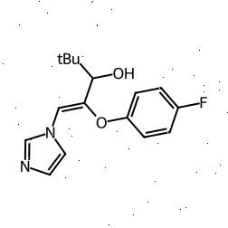 CC(C)(C)C(O)/C(=C/n1ccnc1)Oc1ccc(F)cc1